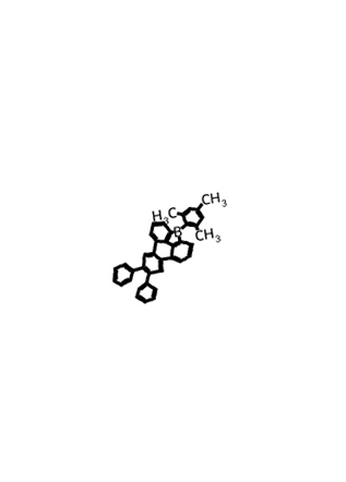 Cc1cc(C)c(B2c3cccc4c5cc(-c6ccccc6)c(-c6ccccc6)cc5c5cccc2c5c34)c(C)c1